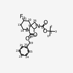 CC(C)(C)OC(=O)N1CC2(CC(F)CCN2C(=O)OCc2ccccc2)C1